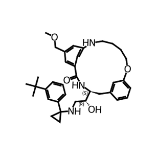 COCc1cc2cc(c1)C(=O)N[C@H]([C@H](O)CNC1(c3cccc(C(C)(C)C)c3)CC1)Cc1cccc(c1)OCCCCN2